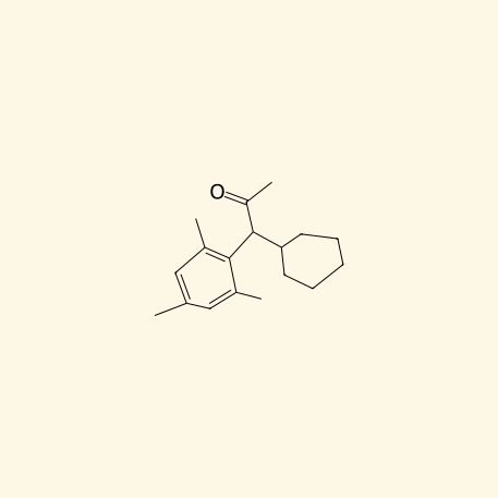 CC(=O)C(c1c(C)cc(C)cc1C)C1CCCCC1